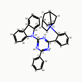 c1ccc(-c2nc(-c3ccccc3N3C4CC5CC(C4)CC3C5)nc(-n3c4ccccc4c4ccccc43)n2)cc1